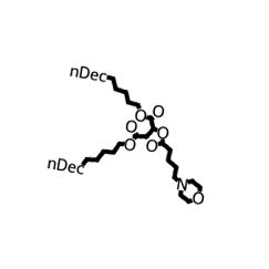 CCCCCCCCCCCCCCCOC(=O)C1OC(CCCCN2CCOCC2)OC1C(=O)OCCCCCCCCCCCCCCC